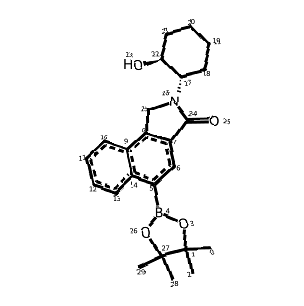 CC1(C)OB(c2cc3c(c4ccccc24)CN([C@H]2CCCC[C@@H]2O)C3=O)OC1(C)C